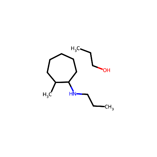 CCCNC1CCCCCC1C.CCCO